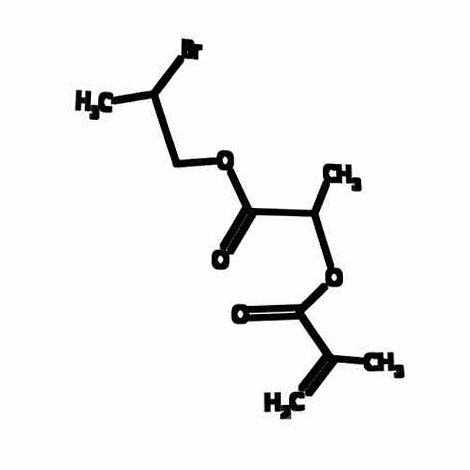 C=C(C)C(=O)OC(C)C(=O)OCC(C)Br